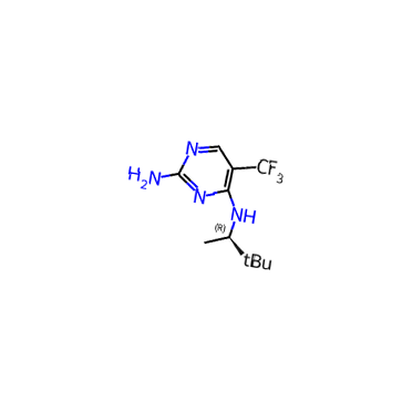 C[C@@H](Nc1nc(N)ncc1C(F)(F)F)C(C)(C)C